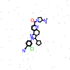 CN(C)C1CCN(C(=O)c2ccc3c(n2)CCC2C3=NN(c3ccc(C#N)c(Cl)c3)C2C2CCCC2)C1